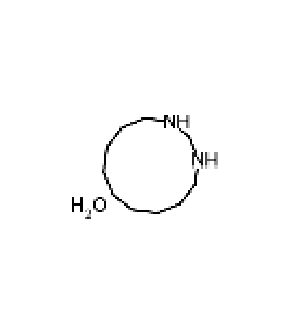 C1CCCCNCNCCCC1.O